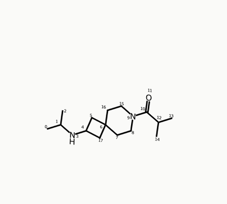 CC(C)NC1CC2(CCN(C(=O)C(C)C)CC2)C1